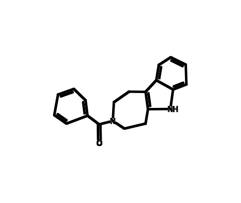 O=C(c1ccccc1)N1CCc2[nH]c3ccccc3c2CC1